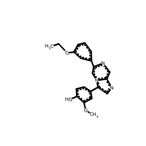 CCOc1cccc(-c2cn3c(-c4ccc(O)c(OC)c4)cnc3cn2)c1